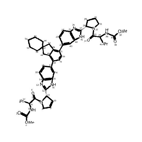 COC(=O)NC(C(=O)N1CC=C[C@H]1c1nc2ccc(-c3ccc(-c4ccc5nc([C@@H]6CCCN6C(=O)C(NC(=O)OC)C(C)C)[nH]c5c4)c4c3CC3(CCCCC3)C4)cc2[nH]1)C(C)C